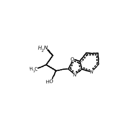 CC(CN)C(O)c1nc2ncccc2o1